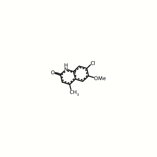 COc1cc2c(C)cc(=O)[nH]c2cc1Cl